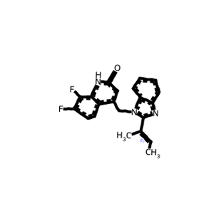 C/C=C(\C)c1nc2ccccc2n1Cc1cc(=O)[nH]c2c(F)c(F)ccc12